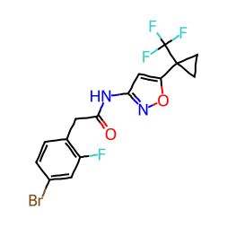 O=C(Cc1ccc(Br)cc1F)Nc1cc(C2(C(F)(F)F)CC2)on1